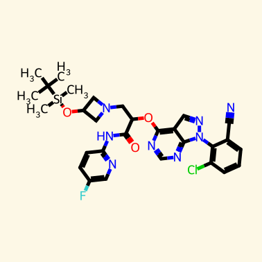 CC(C)(C)[Si](C)(C)OC1CN(CC(Oc2ncnc3c2cnn3-c2c(Cl)cccc2C#N)C(=O)Nc2ccc(F)cn2)C1